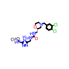 O=CNc1nnc(CNC(=O)NC[C@H]2CN(Cc3ccc(Cl)c(Cl)c3)CCO2)[nH]1